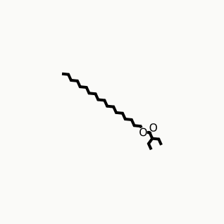 CCCCCCCCCCCCCCCCCCOC(=O)C(CC)CC